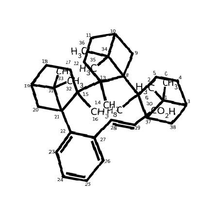 CC1(C)C2CCC(C)(C34CC(CCC3(C)C3(C)CCC5CC3(c3ccccc3C=CC(=O)O)C5(C)C)C4(C)C)C1C2